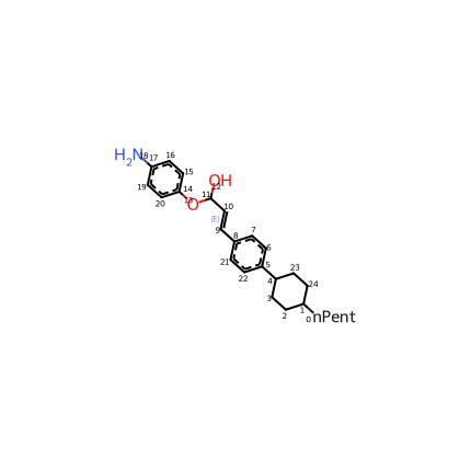 CCCCCC1CCC(c2ccc(/C=C/C(O)Oc3ccc(N)cc3)cc2)CC1